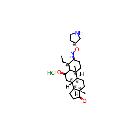 CC[C@H]1/C(=N/O[C@@H]2CCNC2)CC[C@@]2(C)C1C(=O)C[C@@H]1[C@@H]2CC[C@]2(C)C(=O)CC[C@@H]12.Cl